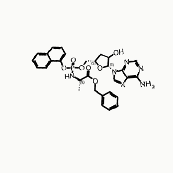 C[C@H](NP(=O)(OC[C@@H]1CC(O)[C@H](n2cnc3c(N)ncnc32)O1)Oc1cccc2ccccc12)C(=O)OCc1ccccc1